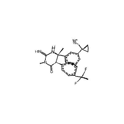 CN1C(=N)N[C@](C)(c2cccc(C3(C#N)CC3)c2)[C@@H](c2ccc(C(C)(F)F)cc2)C1=O